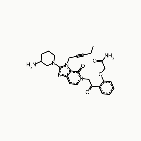 CCC#CCn1c(N2CCCC(N)C2)nc2ccn(CC(=O)c3ccccc3OCC(N)=O)c(=O)c21